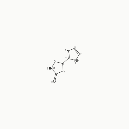 O=C1CC(c2ncc[nH]2)CN1